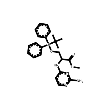 COC(=O)C(CO[Si](c1ccccc1)(c1ccccc1)C(C)(C)C)Nc1ccnc(N)n1